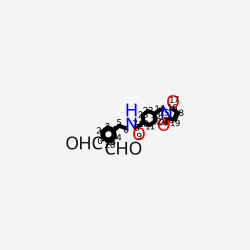 O=Cc1ccc(CCNC(=O)C2CCC(CN3C(=O)C=CC3=O)CC2)cc1C=O